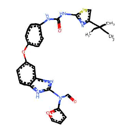 CC(C)(C)c1csc(NC(=O)Nc2ccc(Oc3ccc4[nH]c(N(C=O)c5ccco5)nc4c3)cc2)n1